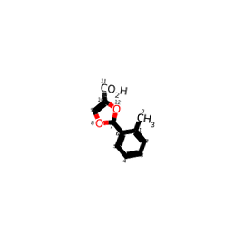 Cc1ccccc1C1OC=C(C(=O)O)O1